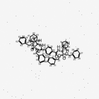 O=C(N[C@H]([C@H]1CN2CCC1CC2)P(=O)(OCc1ccccc1)OCc1ccccc1)c1ccc(C(=O)N[C@H]([C@H]2CN3CCC2CC3)P(=O)(OCc2ccccc2)OCc2ccccc2)cc1